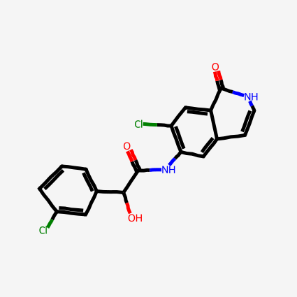 O=C(Nc1cc2cc[nH]c(=O)c2cc1Cl)C(O)c1cccc(Cl)c1